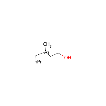 CCCC[As](C)CCO